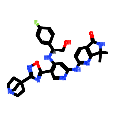 CC1(C)NC(=O)c2ccc(Nc3cc(N[C@H](CO)c4ccc(F)cc4)c(-c4nc(C56CCN(CC5)CC6)no4)cn3)nc21